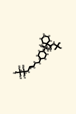 CC(C)(C)OC(=O)C1(S(=O)(=O)N2CCC(CCC=CCC(F)(F)C(F)(F)F)CC2)CCOCC1